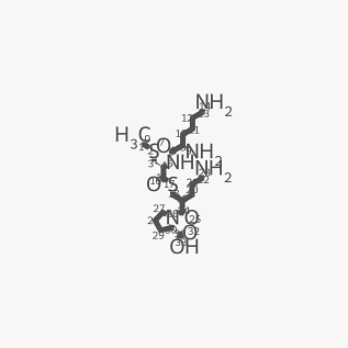 CCSC[C@H](NC(=O)[C@@H](N)CCCCN)C(=O)SCC(CCCN)C(=O)N1CCC[C@H]1C(=O)O